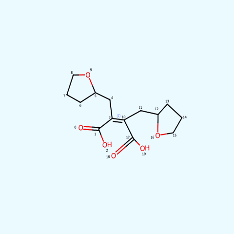 O=C(O)/C(CC1CCCO1)=C(/CC1CCCO1)C(=O)O